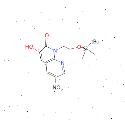 CC(C)(C)[Si](C)(C)OCCn1c(=O)c(O)cc2cc([N+](=O)[O-])cnc21